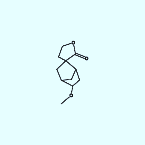 COC1CC2CC1CC21CCOC1=O